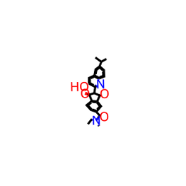 CCN(C)C(=O)c1ccc2c(c1)C(=O)C(c1nc3ccc(C(C)C)cc3cc1O)C2=O